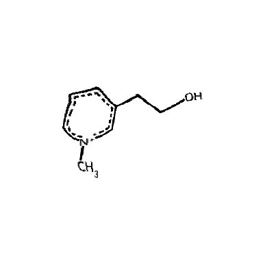 C[n+]1cccc(CCO)c1